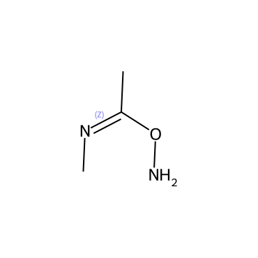 C/N=C(/C)ON